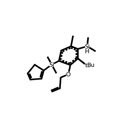 C=CCOc1c([Si](C)(C)C2=CC=CC2)cc(C)c([SiH](C)C)c1C(C)(C)C